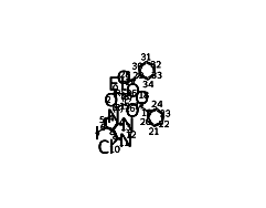 CC[C@H]1O[C@@H](n2cc(I)c3c(Cl)ncnc32)C(OC(=O)c2ccccc2)[C@H]1OC(=O)c1ccccc1